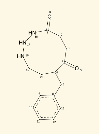 O=C1CCC(=O)C(Cc2ccccc2)CCNNN1